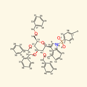 Cc1ccc(S(=O)(=O)n2cc([C@@H]3O[C@H](COCc4ccccc4)[C@@H](OCc4ccccc4)[C@H](OCc4ccccc4)[C@H]3OCc3ccccc3)c3c(C)cccc32)cc1